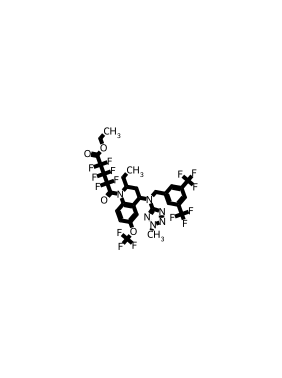 CCOC(=O)C(F)(F)C(F)(F)C(F)(F)C(=O)N1c2ccc(OC(F)(F)F)cc2C(N(Cc2cc(C(F)(F)F)cc(C(F)(F)F)c2)c2nnn(C)n2)CC1CC